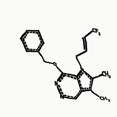 Cc1c(C)n(CC=CC(F)(F)F)c2c(OCc3ccccc3)nncc12